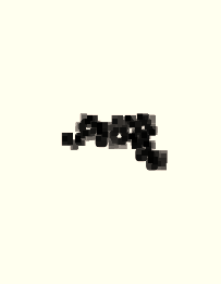 Cc1ccnc(NC(=O)c2ccc(-c3nn(CC(=O)NO)c4ncnc(N)c34)cc2)c1